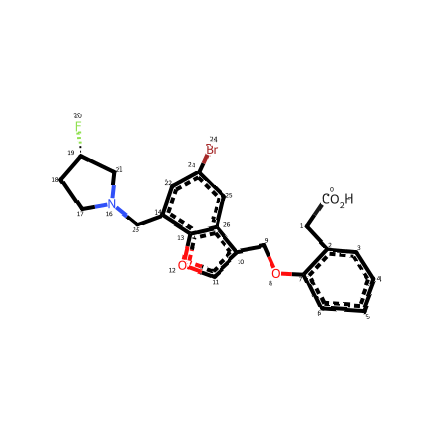 O=C(O)Cc1ccccc1OCc1coc2c(CN3CC[C@H](F)C3)cc(Br)cc12